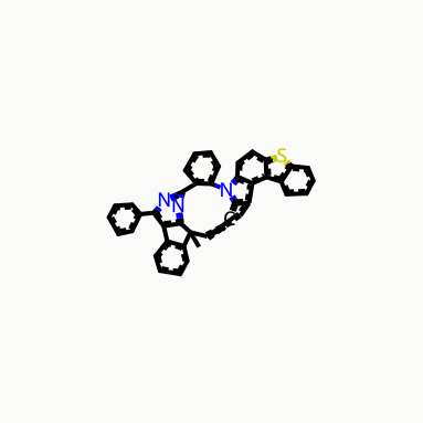 CC12c3ccc4c(c3)c3c5c(ccc3n4-c3ccccc3-c3nc(-c4ccccc4)c(c1n3)-c1ccccc12)sc1ccccc15